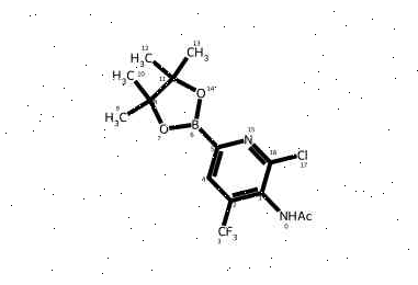 CC(=O)Nc1c(C(F)(F)F)cc(B2OC(C)(C)C(C)(C)O2)nc1Cl